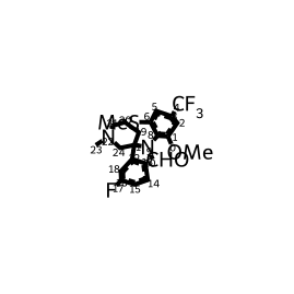 COc1cc(C(F)(F)F)cc(SC)c1N(C=O)C1(c2cccc(F)c2)CCCN(C)C1